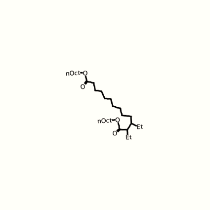 CCCCCCCCOC(=O)CCCCCCCCCC(CC)C(CC)C(=O)OCCCCCCCC